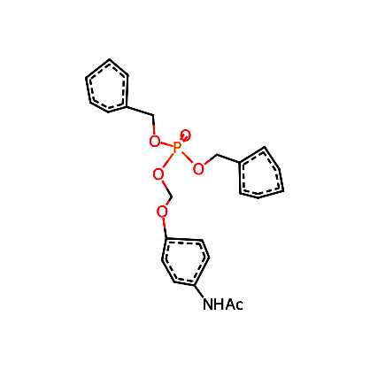 CC(=O)Nc1ccc(OCOP(=O)(OCc2ccccc2)OCc2ccccc2)cc1